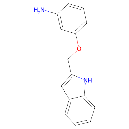 Nc1cccc(OCc2cc3ccccc3[nH]2)c1